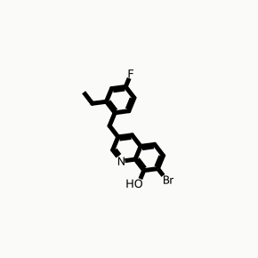 CCc1cc(F)ccc1Cc1cnc2c(O)c(Br)ccc2c1